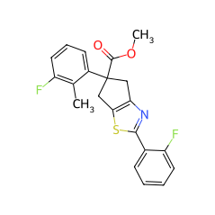 COC(=O)C1(c2cccc(F)c2C)Cc2nc(-c3ccccc3F)sc2C1